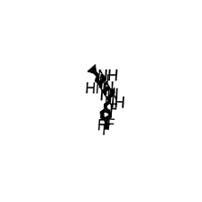 Fc1cc(C(F)(F)F)ccc1CNc1ncnc(Nc2cc(C3CC3)[nH]n2)n1